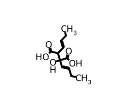 CCC=CC(C(=O)O)C(O)(C=CCC)C(=O)O